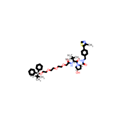 Cc1ncsc1-c1ccc(CNC(=O)[C@@H]2C[C@H](O)CN2C(=O)[C@@H](NC(=O)COCCOCCOCCO[Si](c2ccccc2)(c2ccccc2)C(C)(C)C)C(C)(C)C)cc1